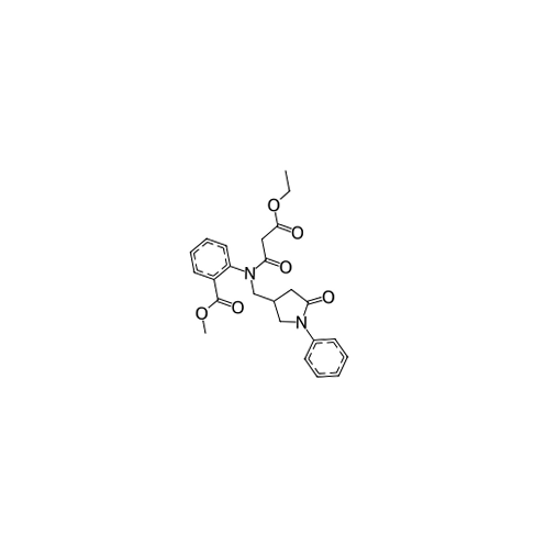 CCOC(=O)CC(=O)N(CC1CC(=O)N(c2ccccc2)C1)c1ccccc1C(=O)OC